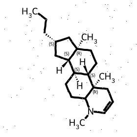 CCC[C@H]1C[C@H]2[C@@H]3CCC4N(C)C=CC[C@]4(C)[C@H]3CC[C@]2(C)C1